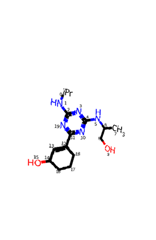 CC(C)Nc1nc(NC(C)CO)nc(C2=CC(O)CCC2)n1